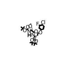 COC[C@@H](NC(=O)OC(C)(C)C)C(=O)N[C@H](CCOc1ccc(Cl)c(F)c1)B1OC(C)(C)C(C)(C)O1